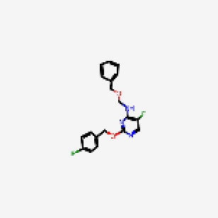 Fc1ccc(COc2ncc(F)c(NCOCc3ccccc3)n2)cc1